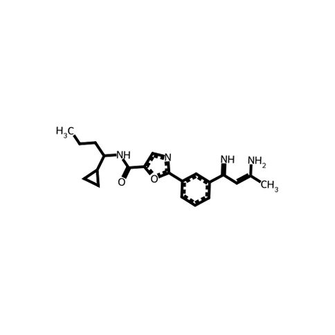 CCCC(NC(=O)c1cnc(-c2cccc(C(=N)/C=C(/C)N)c2)o1)C1CC1